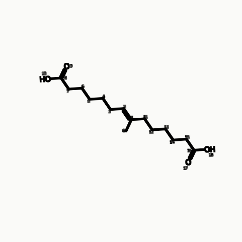 C/C(=C\CCCCCC(=O)O)CCCCCC(=O)O